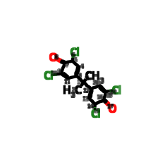 CC(C)(C1=CC(Cl)C(=O)C(Cl)=C1)C1=CC(Cl)C(=O)C(Cl)=C1